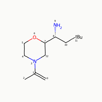 C=C(C)N1CCOC([C@H](N)CC(C)(C)C)C1